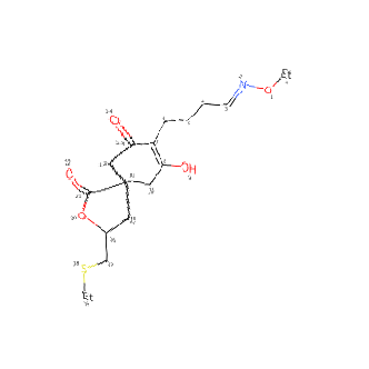 CCON=CCCCC1=C(O)CC2(CC1=O)CC(CSCC)OC2=O